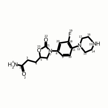 NC(=O)CCC1CN(c2ccc(N3CCNCC3)c(F)c2)C(=O)O1